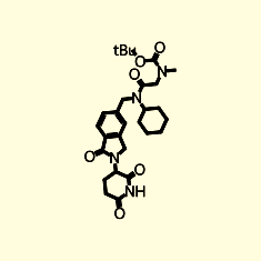 CN(CC(=O)N(Cc1ccc2c(c1)CN(C1CCC(=O)NC1=O)C2=O)C1CCCCC1)C(=O)OC(C)(C)C